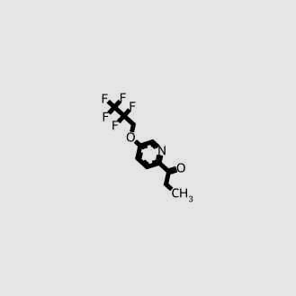 CCC(=O)c1ccc(OCC(F)(F)C(F)(F)F)cn1